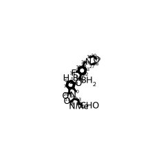 BC(B)(Oc1cccc2c1CN(C(CCC=O)C(=O)NC)C2=O)c1ccc(CN2CCOCC2)cc1F